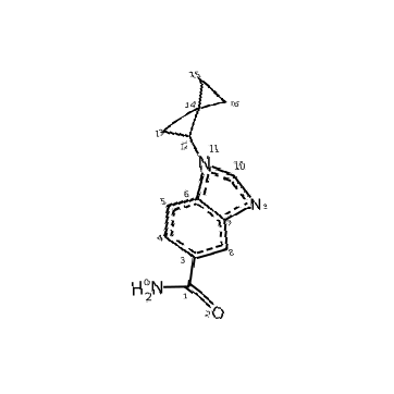 NC(=O)c1ccc2c(c1)ncn2C1CC12CC2